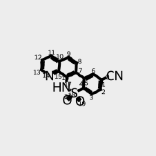 N#Cc1ccc2c(c1)-c1ccc3cccnc3c1NS2(=O)=O